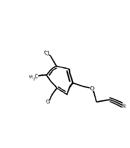 Cc1c(Cl)cc(OCC#N)cc1Cl